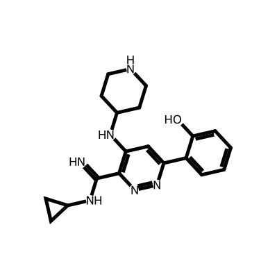 N=C(NC1CC1)c1nnc(-c2ccccc2O)cc1NC1CCNCC1